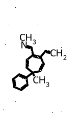 C=CC1=C(/C=N/C)C=CC(C)(c2ccccc2)C=C1